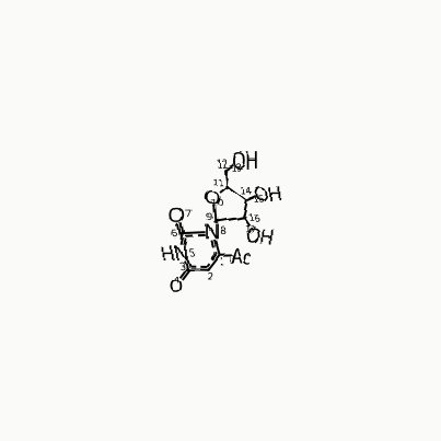 CC(=O)c1cc(=O)[nH]c(=O)n1[C@H]1O[C@@H](CO)C(O)C1O